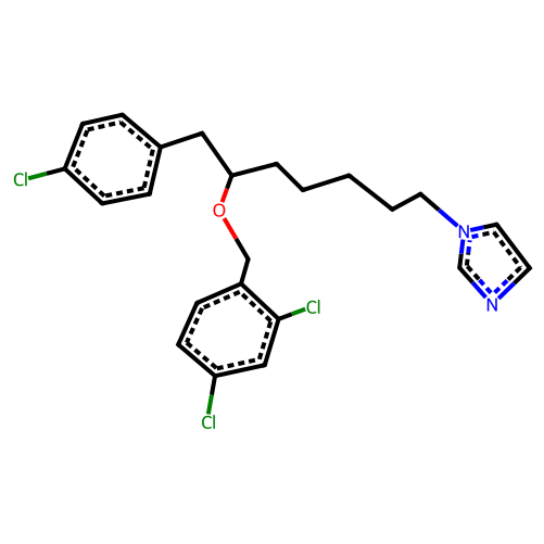 Clc1ccc(CC(CCCCCn2ccnc2)OCc2ccc(Cl)cc2Cl)cc1